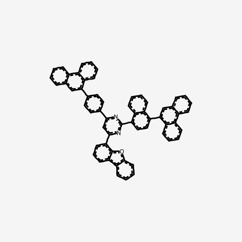 c1ccc2c(c1)cc(-c1ccc(-c3cc(-c4cccc5c4oc4ccccc45)nc(-c4ccc(-c5cc6ccccc6c6ccccc56)c5ccccc45)n3)cc1)c1ccccc12